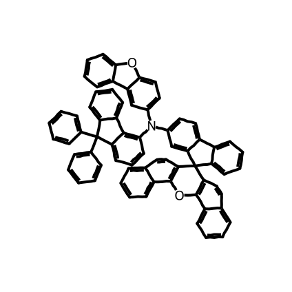 c1ccc(C2(c3ccccc3)c3ccccc3-c3c(N(c4ccc5c(c4)C4(c6ccccc6-5)c5ccc6ccccc6c5Oc5c4ccc4ccccc54)c4ccc5oc6ccccc6c5c4)cccc32)cc1